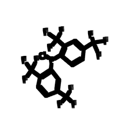 FC(F)(F)c1ccc(C(F)(F)F)c(P(Cl)c2ccc(C(F)(F)F)cc2C(F)(F)F)c1